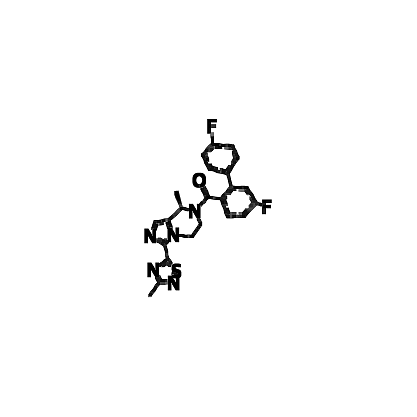 Cc1nsc(-c2ncc3n2CCN(C(=O)c2ccc(F)cc2-c2ccc(F)cc2)[C@@H]3C)n1